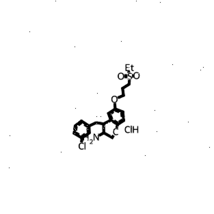 CCS(=O)(=O)CCCOc1ccc2c(c1)C(Cc1cccc(Cl)c1)C(N)CC2.Cl